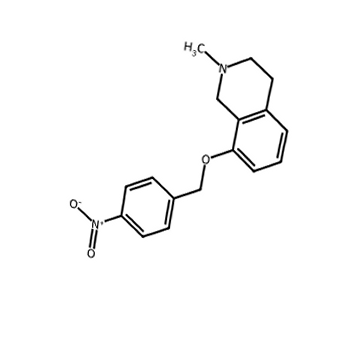 CN1CCc2cccc(OCc3ccc([N+](=O)[O-])cc3)c2C1